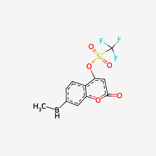 CBc1ccc2c(OS(=O)(=O)C(F)(F)F)cc(=O)oc2c1